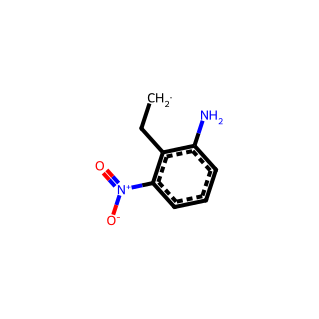 [CH2]Cc1c(N)cccc1[N+](=O)[O-]